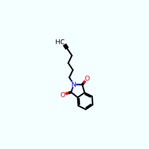 C#CCCCCN1C(=O)c2ccccc2C1=O